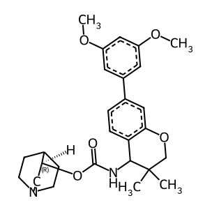 COc1cc(OC)cc(-c2ccc3c(c2)OCC(C)(C)C3NC(=O)O[C@H]2CN3CCC2CC3)c1